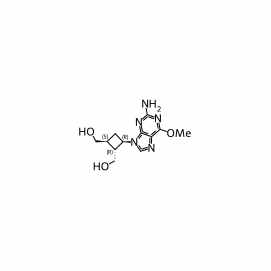 COc1nc(N)nc2c1ncn2[C@@H]1C[C@H](CO)[C@H]1CO